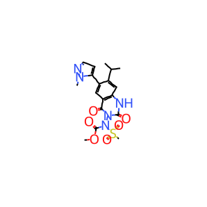 COC(=O)N(n1c(=O)[nH]c2cc(C(C)C)c(-c3ccnn3C)cc2c1=O)S(C)(=O)=O